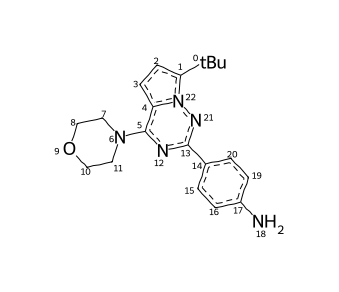 CC(C)(C)c1ccc2c(N3CCOCC3)nc(-c3ccc(N)cc3)nn12